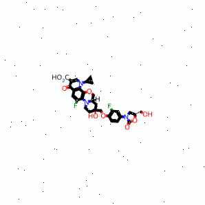 O=C(O)c1cn(C2CC2)c2c3c(c(F)cc2c1=O)N1CC[C@@](O)(COc2ccc(N4C[C@H](CO)OC4=O)cc2F)C[C@H]1CO3